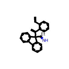 C=Cc1ccccc1C(=C)C1(C(=N)CC)c2ccccc2-c2ccccc21